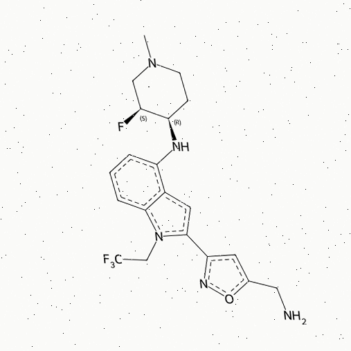 CN1CC[C@@H](Nc2cccc3c2cc(-c2cc(CN)on2)n3CC(F)(F)F)[C@@H](F)C1